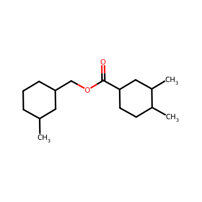 CC1CCCC(COC(=O)C2CCC(C)C(C)C2)C1